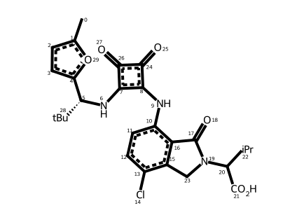 Cc1ccc([C@H](Nc2c(Nc3ccc(Cl)c4c3C(=O)N(C(C(=O)O)C(C)C)C4)c(=O)c2=O)C(C)(C)C)o1